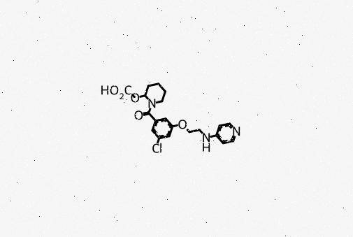 O=C(O)OC1CCCCN1C(=O)c1cc(Cl)cc(OCCNc2ccncc2)c1